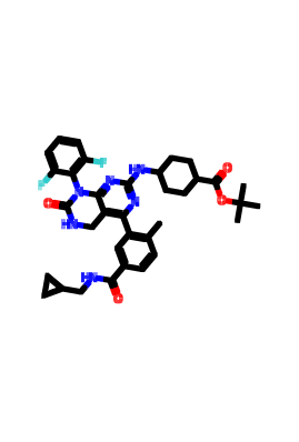 Cc1ccc(C(=O)NCC2CC2)cc1-c1nc(NC2CCC(C(=O)OC(C)(C)C)CC2)nc2c1CNC(=O)N2c1c(F)cccc1F